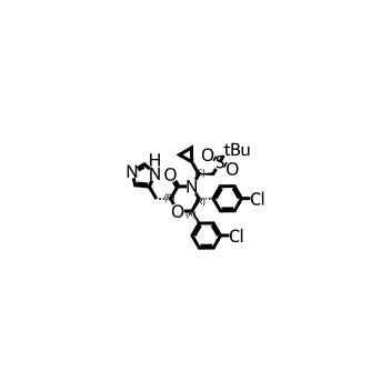 CC(C)(C)S(=O)(=O)C[C@H](C1CC1)N1C(=O)[C@@H](Cc2cnc[nH]2)O[C@H](c2cccc(Cl)c2)[C@H]1c1ccc(Cl)cc1